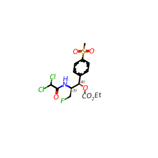 CCOC(=O)O[C@H](c1ccc(S(C)(=O)=O)cc1)[C@@H](CF)NC(=O)C(Cl)Cl